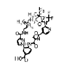 CN(C)CCNC(=O)c1ccn(-c2cc(C(=O)O)ccc2NC(=O)c2coc(-c3ccnc(N(CC(F)(F)F)C(=O)OC(C)(C)C)c3)n2)n1